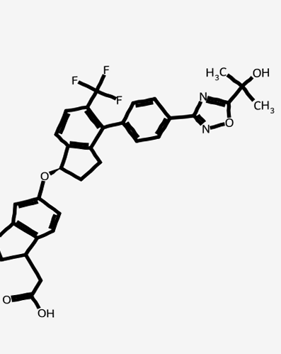 CC(C)(O)c1nc(-c2ccc(-c3c(C(F)(F)F)ccc4c3CC[C@H]4Oc3ccc4c(c3)OCC4CC(=O)O)cc2)no1